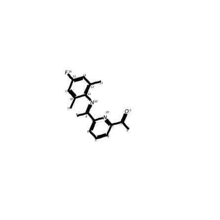 CC(=O)c1cccc(/C(C)=N/c2c(C)cc(F)cc2C)n1